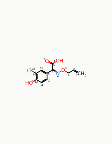 C=CCO/N=C(\C(=O)O)c1ccc(O)c(Cl)c1